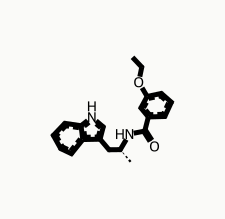 CCOc1cccc(C(=O)N[C@H](C)Cc2c[nH]c3ccccc23)c1